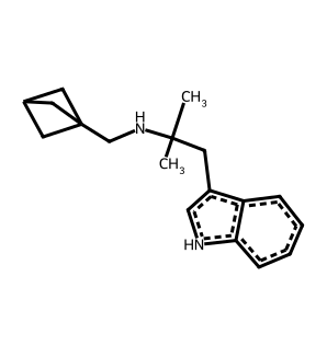 CC(C)(Cc1c[nH]c2ccccc12)NCC12CC(C1)C2